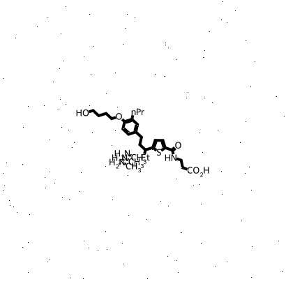 CCCc1cc(CCC(CC)c2ccc(C(=O)NCCC(=O)O)s2)ccc1OCCCCO.CN.CN.CN